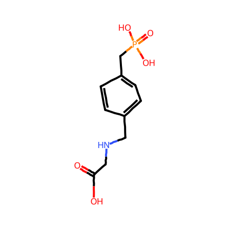 O=C(O)CNCc1ccc(CP(=O)(O)O)cc1